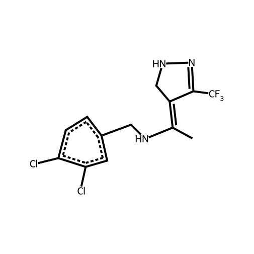 CC(NCc1ccc(Cl)c(Cl)c1)=C1CNN=C1C(F)(F)F